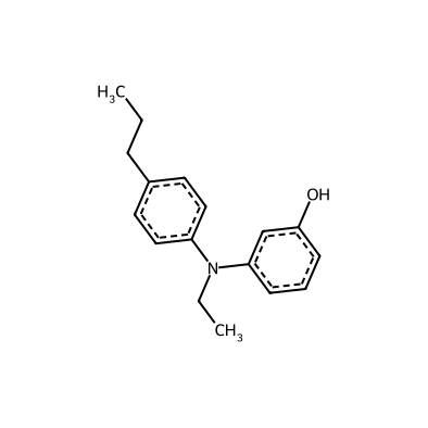 CCCc1ccc(N(CC)c2cccc(O)c2)cc1